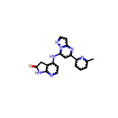 Cc1cccc(-c2cc(Nc3ccnc4c3CC(=O)N4)n3nccc3n2)n1